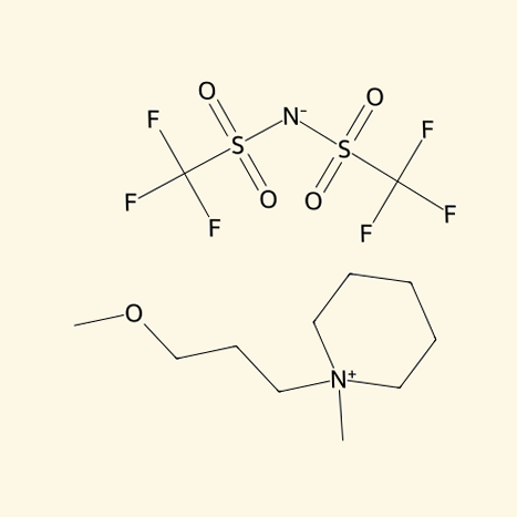 COCCC[N+]1(C)CCCCC1.O=S(=O)([N-]S(=O)(=O)C(F)(F)F)C(F)(F)F